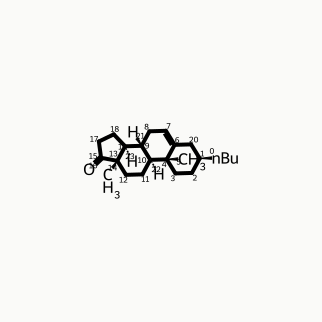 CCCC[C@H]1CC[C@@]2(C)C(=CC[C@@H]3[C@@H]2CC[C@]2(C)C(=O)CC[C@@H]32)C1